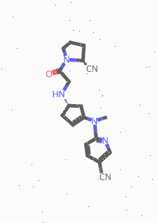 CN(C1=CC[C@H](NCC(=O)N2CCC[C@H]2C#N)C1)c1ccc(C#N)cn1